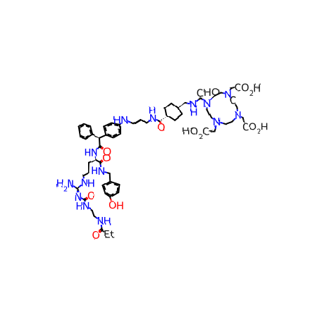 CCC(=O)NCCNC(=O)/N=C(/N)NCCC[C@@H](NC(=O)[C@@H](c1ccccc1)c1ccc(NCCCNC(=O)[C@H]2CC[C@H](CNC(C=O)N3CCN(CC(=O)O)CCN(CC(=O)O)CCN(CC(=O)O)CC3)CC2)cc1)C(=O)NCc1ccc(O)cc1